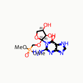 COP(=O)(CO[C@@]1(n2c(N)nc3nc[nH]c3c2=O)OC[C@@H](O)[C@H]1O)OC